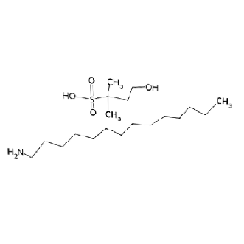 CC(C)(CCO)S(=O)(=O)O.CCCCCCCCCCCCCCN